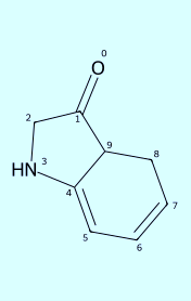 O=C1CNC2=CC=CCC12